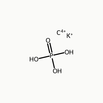 O=P(O)(O)O.[C+4].[K+]